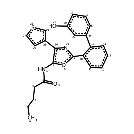 CCCCC(=O)Nc1oc(-c2ccccc2-c2cccc(O)c2)nc1-c1ccsc1